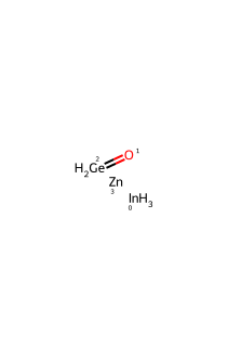 [InH3].[O]=[GeH2].[Zn]